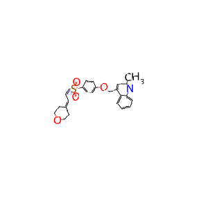 Cc1cc(COc2ccc(S(=O)(=O)/C=C\C=C3CCOCC3)cc2)c2ccccc2n1